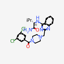 CC(C)[C@H](Nc1nc(CN2CCN(C(=O)c3cc(Cl)cc(Cl)c3)CC2)nc2ccccc12)C(N)=O